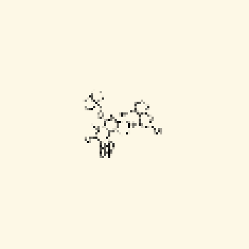 C#Cc1cccc2cc(O)cc(N3CCc4c(nc(OCC56CCCN5CCC6)c5c4N4CC6CCC(N6)C4C(=O)N5C)C3)c12